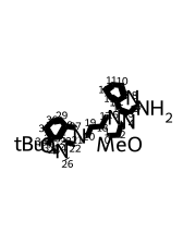 COCCc1nc2c(N)nc3ccccc3c2n1CCCCN(CCN(C)C)Cc1cccc(OC(C)(C)C)c1